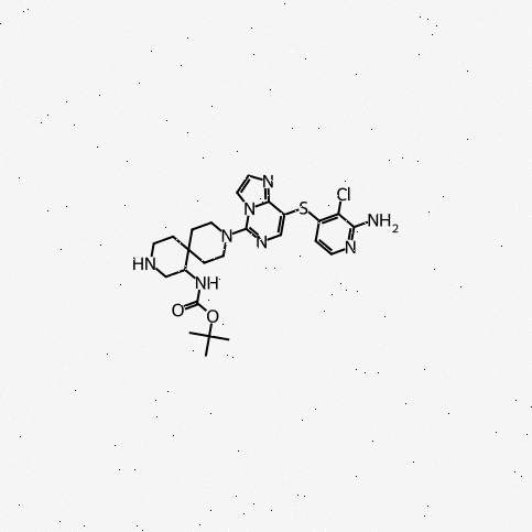 CC(C)(C)OC(=O)NC1CNCCC12CCN(c1ncc(Sc3ccnc(N)c3Cl)c3nccn13)CC2